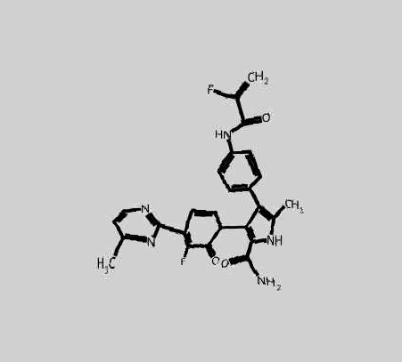 C=C(F)C(=O)Nc1ccc(-c2c(C)[nH]c(C(N)=O)c2C2C=CC(c3nccc(C)n3)=C(F)C2=O)cc1